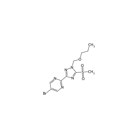 CCCOCn1nc(-c2ncc(Br)cn2)nc1S(C)(=O)=O